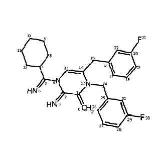 C=C1C(=N)N(C(=N)C2CCCCC2)C=C(Cc2cccc(F)c2)N1Cc1cccc(F)c1